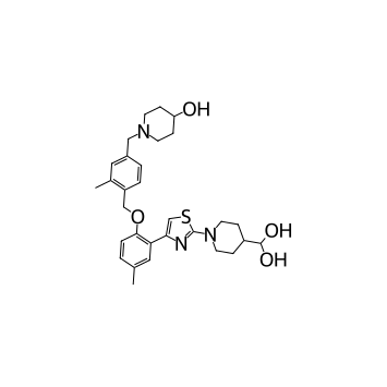 Cc1ccc(OCc2ccc(CN3CCC(O)CC3)cc2C)c(-c2csc(N3CCC(C(O)O)CC3)n2)c1